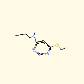 CCCN(C)c1cc(SCC)ncn1